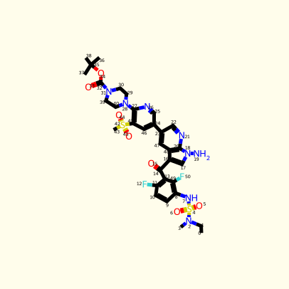 CCN(C)S(=O)(=O)Nc1ccc(F)c(C(=O)c2cn(N)c3ncc(-c4cnc(N5CCN(C(=O)OC(C)(C)C)CC5)c(S(C)(=O)=O)c4)cc23)c1F